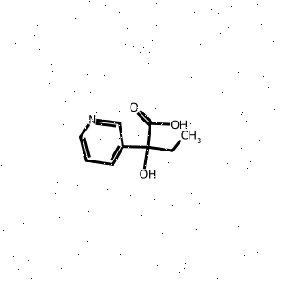 CCC(O)(C(=O)O)c1cccnc1